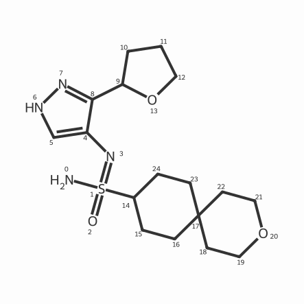 NS(=O)(=Nc1c[nH]nc1C1CCCO1)C1CCC2(CCOCC2)CC1